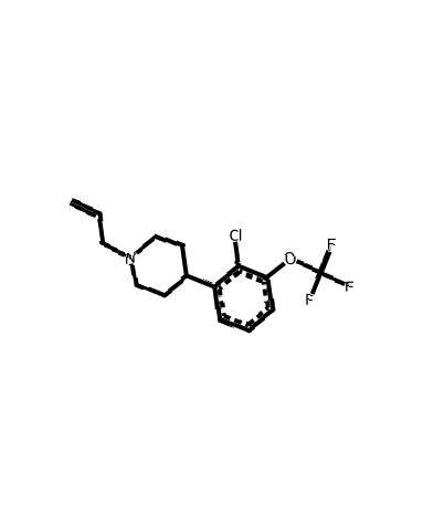 C=CCN1CCC(c2cccc(OC(F)(F)F)c2Cl)CC1